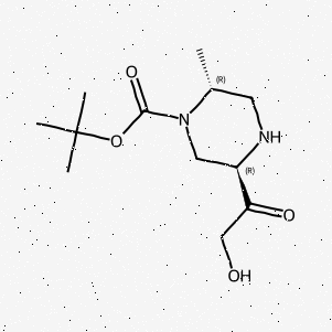 C[C@@H]1CN[C@@H](C(=O)CO)CN1C(=O)OC(C)(C)C